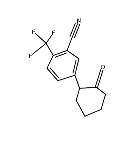 N#Cc1cc(C2CCCCC2=O)ccc1C(F)(F)F